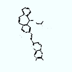 C[C@H](CSC1c2ccccc2C=Cc2ccc(C=Cc3ccc4cc(F)c(F)cc4n3)cc21)C(=O)[O-].[Na+]